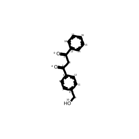 O=C(CC(=O)c1ccc(CO)cc1)c1ccccc1